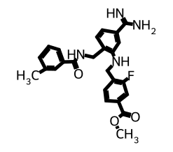 COC(=O)c1ccc(CNc2cc(C(=N)N)ccc2CNC(=O)c2cccc(C)c2)c(F)c1